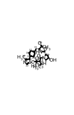 CN[C@H](C(=O)N1C[C@H](O)C[C@H]1C(=O)N[C@H](Cc1ccc(-c2scnc2C)cc1)C(C)=O)C(C)(C)C